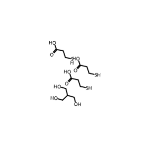 O=C(O)CCS.O=C(O)CCS.O=C(O)CCS.OCC(CO)CO